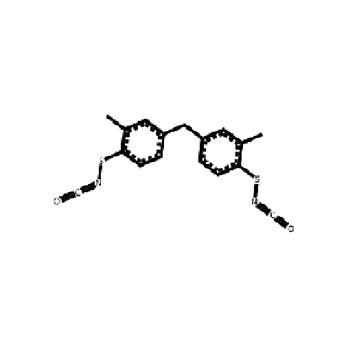 Cc1cc(Cc2ccc(SN=C=O)c(C)c2)ccc1SN=C=O